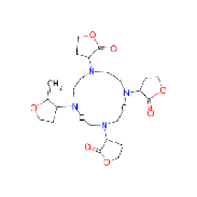 C=C1OCCC1N1CCN(C2CCOC2=O)CCN(C2CCOC2=O)CCN(C2CCOC2=O)CC1